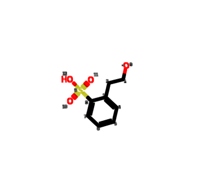 [O]CCc1ccccc1S(=O)(=O)O